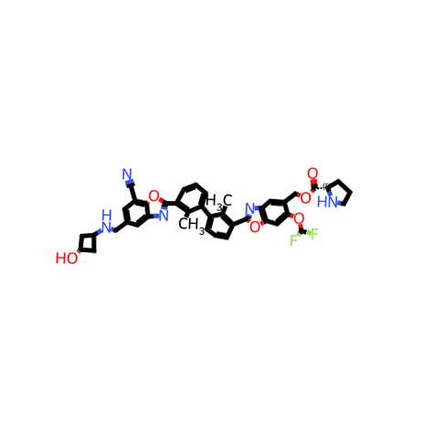 Cc1c(-c2nc3cc(COC(=O)[C@@H]4CCCN4)c(OC(F)F)cc3o2)cccc1-c1cccc(-c2nc3cc(CNC4CC(O)C4)cc(C#N)c3o2)c1C